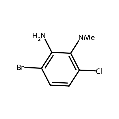 CNc1c(Cl)ccc(Br)c1N